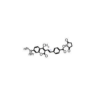 CCCN(CCC)c1ccc2c(C)c(/C=C/c3ccc(C(=O)ON4C(=O)CCC4=O)cc3)c(=O)oc2c1